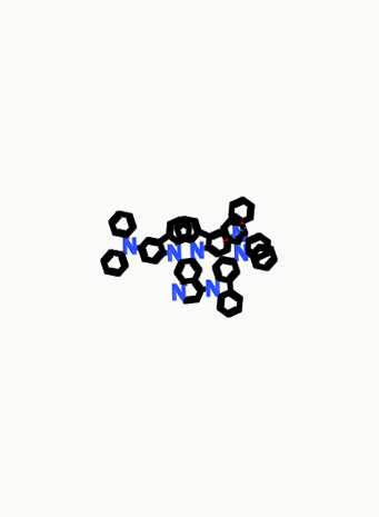 c1ccc(N(c2ccccc2)c2ccc3c(c2)c2ccccc2n3-c2cc3nccc(-n4c5ccccc5c5cc(N(c6ccccc6)c6ccccc6)ccc54)c3cc2-n2c3ccccc3c3cc(N(c4ccccc4)c4ccccc4)ccc32)cc1